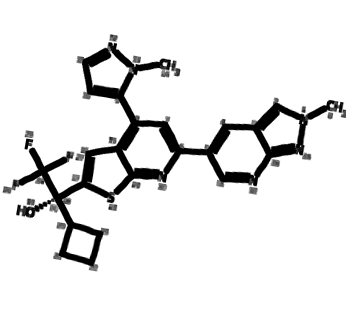 Cn1cc2cc(-c3cc(-c4ccnn4C)c4cc([C@@](O)(C5CCC5)C(F)(F)F)sc4n3)cnc2n1